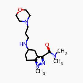 CN(C)C(=O)c1nn(C)c2c1CC(NCCCN1CCOCC1)CC2